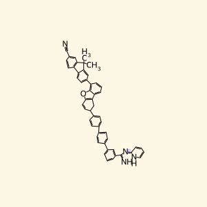 CC1(C)c2cc(C#N)ccc2-c2ccc(-c3cccc4c5c(oc34)C=CC(c3ccc(-c4ccc(-c6cccc(C(=N)/N=c7/cccc[nH]7)c6)cc4)cc3)C5)cc21